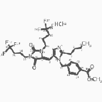 CCCCc1ncc(C=C2C(=O)N(CCCC(F)(F)F)C(=O)N2CCCC(F)(F)F)n1Cc1ccc(C(=O)OC)cc1.Cl